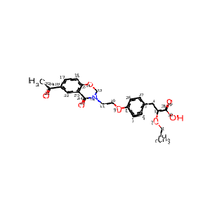 CCOC(Cc1ccc(OCCN2COc3ccc(C(C)=O)cc3C2=O)cc1)C(=O)O